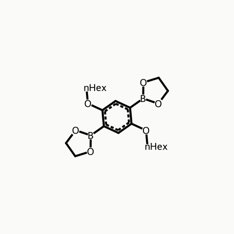 CCCCCCOc1cc(B2OCCO2)c(OCCCCCC)cc1B1OCCO1